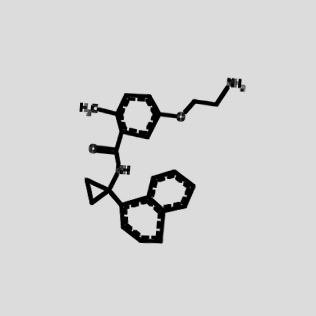 Cc1ccc(OCCN)cc1C(=O)NC1(c2cccc3ccccc23)CC1